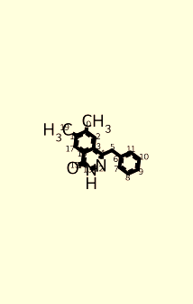 Cc1cc2c(Cc3ccccc3)n[nH]c(=O)c2cc1C